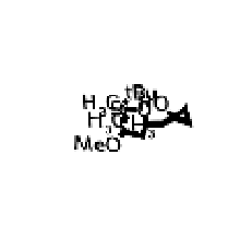 COC(C)CC(CC1(O)CC1)O[Si](C)(C)C(C)(C)C